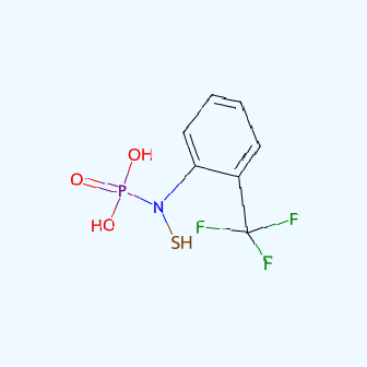 O=P(O)(O)N(S)c1ccccc1C(F)(F)F